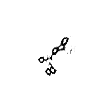 CC1(C)c2cc(Br)ccc2-c2ccc(-c3nc(-c4ccccc4)nc(-c4cccc5ccccc45)n3)cc21